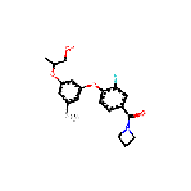 CC(CO)Oc1cc(Oc2ccc(C(=O)N3CCC3)cc2F)cc(C(=O)O)c1